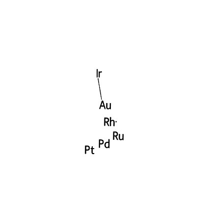 [Ir][Au].[Pd].[Pt].[Rh].[Ru]